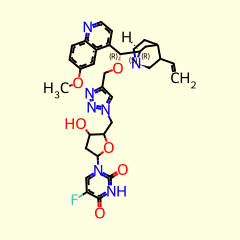 C=CC1C[N@@]2CCC1C[C@@H]2[C@H](OCc1cn(CC2OC(n3cc(F)c(=O)[nH]c3=O)CC2O)nn1)c1ccnc2ccc(OC)cc12